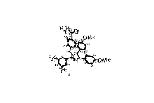 COc1ccc(C2N=C(c3cc(C(F)(F)F)cc(C(F)(F)F)c3)N(Cc3ccc(C(N)=O)cc3)C2c2ccc(OC)cc2)cc1